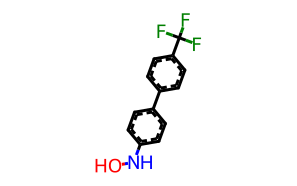 ONc1ccc(-c2ccc(C(F)(F)F)cc2)cc1